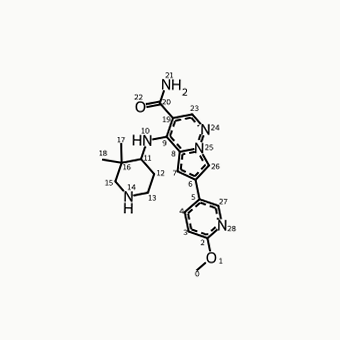 COc1ccc(-c2cc3c(NC4CCNCC4(C)C)c(C(N)=O)cnn3c2)cn1